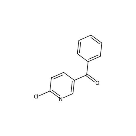 O=C(c1ccccc1)c1ccc(Cl)nc1